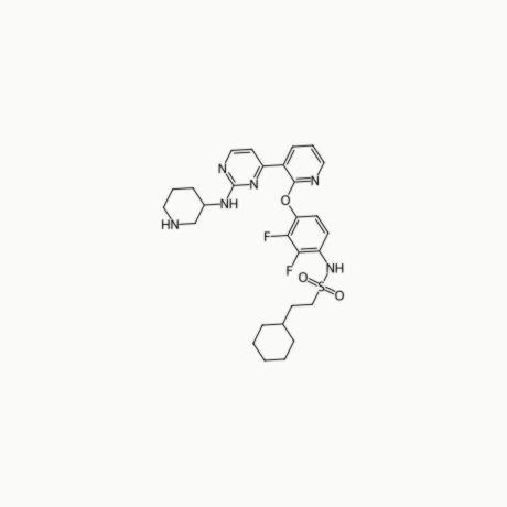 O=S(=O)(CCC1CCCCC1)Nc1ccc(Oc2ncccc2-c2ccnc(NC3CCCNC3)n2)c(F)c1F